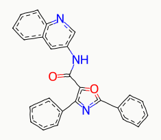 O=C(Nc1cnc2ccccc2c1)c1oc(-c2ccccc2)nc1-c1ccccc1